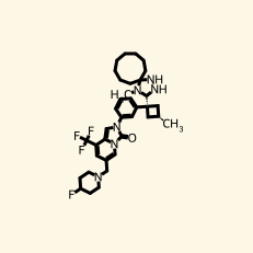 CN1C([C@]2(c3cccc(-n4cc5c(C(F)(F)F)cc(CN6CCC(F)CC6)cn5c4=O)c3)C[C@H](C)C2)NNC12CCCCCCCC2